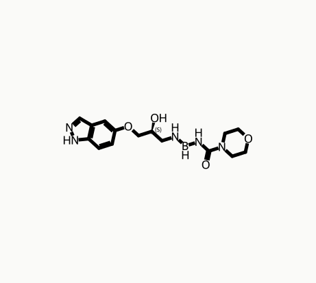 O=C(NBNC[C@H](O)COc1ccc2[nH]ncc2c1)N1CCOCC1